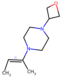 C/C=C(\C)N1CCN(C2COC2)CC1